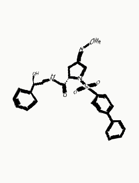 CON=C1C[C@@H](C(=O)NC[C@H](O)c2ccccc2)N(S(=O)(=O)c2ccc(-c3ccccc3)cc2)C1